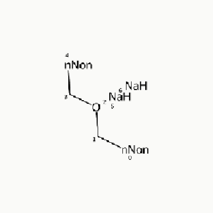 CCCCCCCCCCOCCCCCCCCCC.[NaH].[NaH]